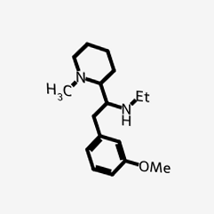 CCNC(Cc1cccc(OC)c1)C1CCCCN1C